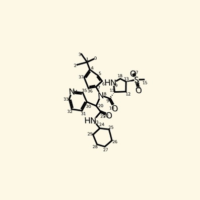 CC(C)(C)c1ccc(N(C(=O)[C@H]2C[C@H](S(C)(=O)=O)CN2)C(C(=O)NC2CCCCC2)c2cccnc2)cc1